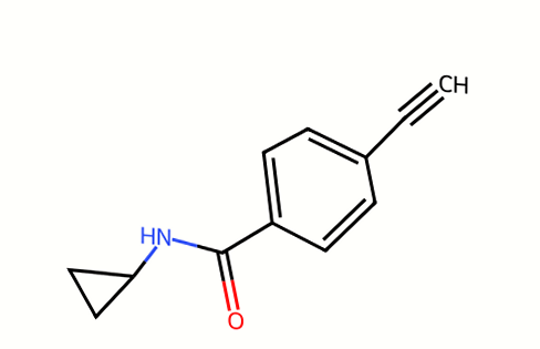 C#Cc1ccc(C(=O)NC2CC2)cc1